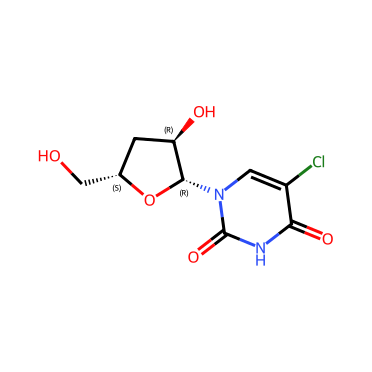 O=c1[nH]c(=O)n([C@@H]2O[C@H](CO)C[C@H]2O)cc1Cl